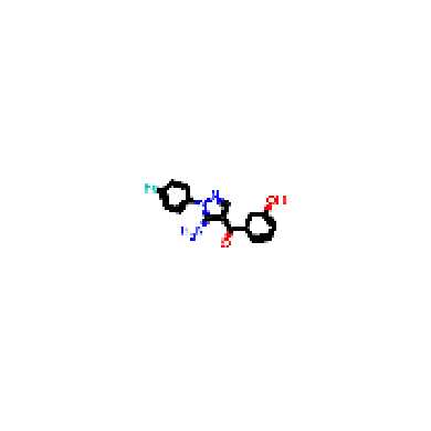 Nc1c(C(=O)C2C=CC=C(O)C2)cnn1-c1ccc(F)cc1